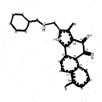 Cc1c(CNCC2CCCCC2)oc2c1C(=O)C(=O)c1c-2ccc2c(C)cccc12